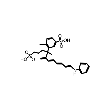 C=C(/C=C/C=C/C=C/Nc1ccccc1)C(C)(CCCS(=O)(=O)O)c1cc(S(=O)(=O)O)ccc1C